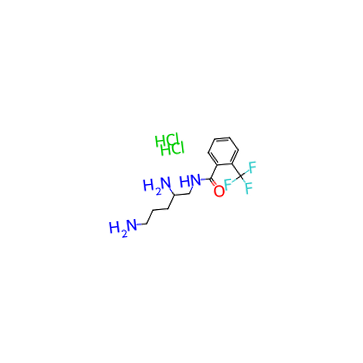 Cl.Cl.NCCCC(N)CNC(=O)c1ccccc1C(F)(F)F